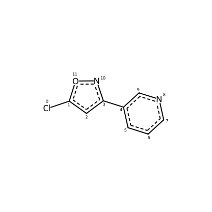 Clc1cc(-c2cccnc2)no1